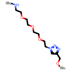 CC(C)(C)NCCOCCOCCOCCn1cc(COC(C)(C)C)nn1